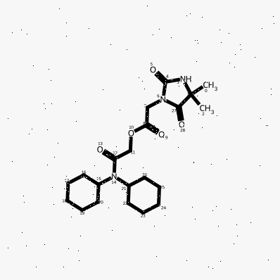 CC1(C)NC(=O)N(CC(=O)OCC(=O)N(C2CCCCC2)C2CCCCC2)C1=O